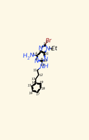 CCn1c(Br)nc2c(N)nc(NCCCc3ccccc3)nc21